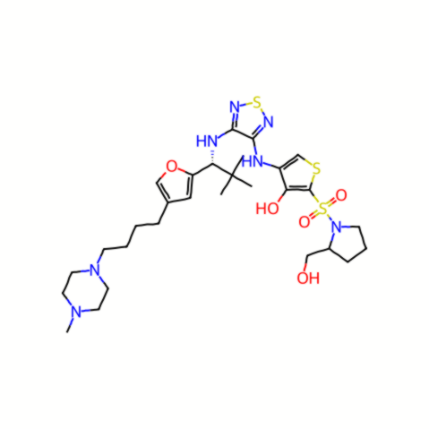 CN1CCN(CCCCc2coc([C@H](Nc3nsnc3Nc3csc(S(=O)(=O)N4CCCC4CO)c3O)C(C)(C)C)c2)CC1